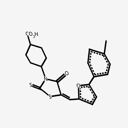 Cc1ccc(-c2ccc(C=C3SC(=S)N(C4CCC(C(=O)O)CC4)C3=O)o2)cc1